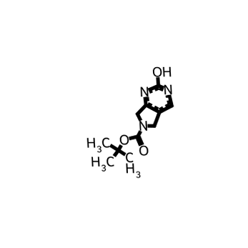 CC(C)(C)OC(=O)N1Cc2cnc(O)nc2C1